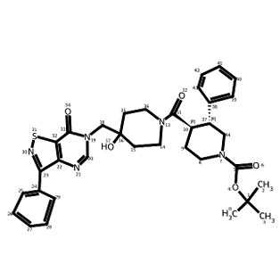 CC(C)(C)OC(=O)N1CC[C@@H](C(=O)N2CCC(O)(Cn3cnc4c(-c5ccccc5)nsc4c3=O)CC2)[C@H](c2ccccc2)C1